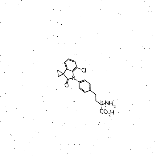 N[C@@H](CCc1ccc(N2C(=O)C3(CC3)c3cccc(Cl)c32)cc1)C(=O)O